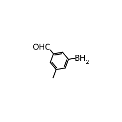 Bc1cc(C)cc(C=O)c1